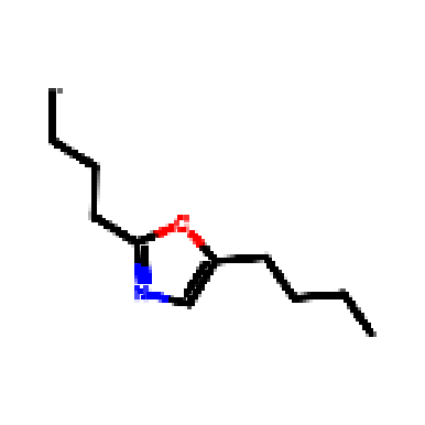 [CH2]CCCc1ncc(CCCC)o1